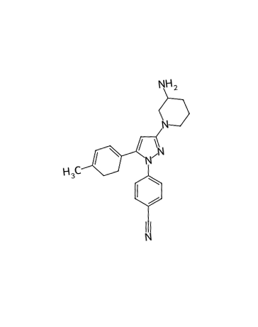 CC1=CC=C(c2cc(N3CCCC(N)C3)nn2-c2ccc(C#N)cc2)CC1